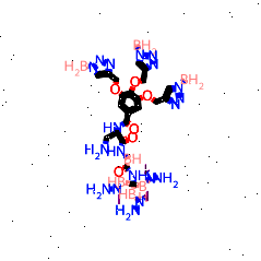 Bn1cc(COc2cc(C(=O)NC(CN)C(=O)NBC(=O)NC(BN(N)I)(BN(N)I)BN(N)I)cc(OCc3cn(B)nn3)c2OCc2cn(B)nn2)nn1